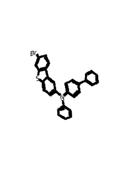 Brc1ccc2c(c1)sc1ccc(N(c3ccccc3)c3ccc(-c4ccccc4)cc3)cc12